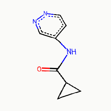 O=C(Nc1ccnnc1)C1CC1